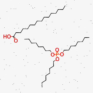 CCCCCCCCCCCCCCCC(=O)O.CCCCCCCCOP(=O)(OCCCCCCCC)OCCCCCCCC